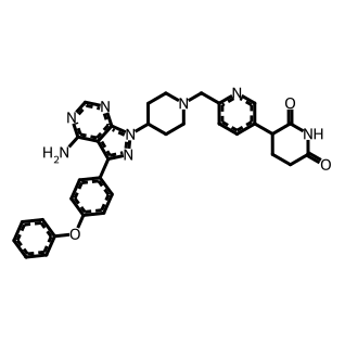 Nc1ncnc2c1c(-c1ccc(Oc3ccccc3)cc1)nn2C1CCN(Cc2ccc(C3CCC(=O)NC3=O)cn2)CC1